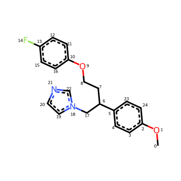 COc1ccc(C(CCOc2ccc(F)cc2)Cn2ccnc2)cc1